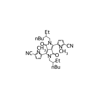 CCCCC(CC)CN1C(=O)C2=C(c3ccc(C#N)n3C)N(CC(CC)CCCC)C(=O)C2=C1c1ccc(C#N)n1C